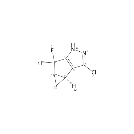 FC1(F)c2[nH]nc(Cl)c2[C@H]2CC21